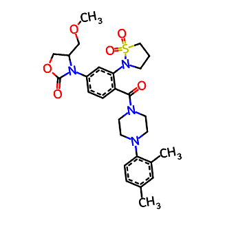 COCC1COC(=O)N1c1ccc(C(=O)N2CCN(c3ccc(C)cc3C)CC2)c(N2CCCS2(=O)=O)c1